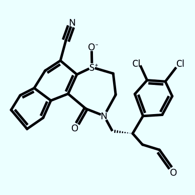 N#Cc1cc2ccccc2c2c1[S+]([O-])CCN(C[C@@H](CC=O)c1ccc(Cl)c(Cl)c1)C2=O